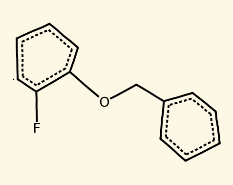 Fc1[c]cccc1OCc1ccccc1